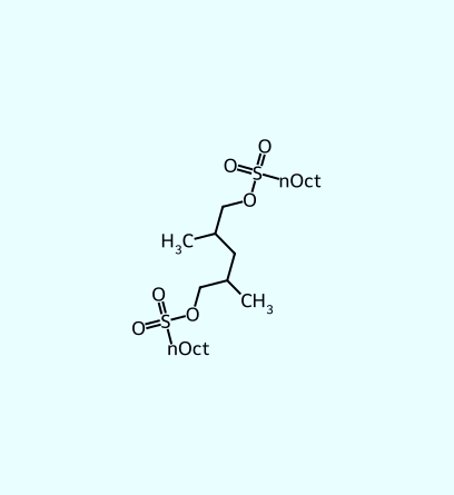 CCCCCCCCS(=O)(=O)OCC(C)CC(C)COS(=O)(=O)CCCCCCCC